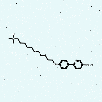 CCCCCCCCc1ccc(-c2ccc(OCCCCCCCCCCC[Si](C)(C)CC)cc2)nc1